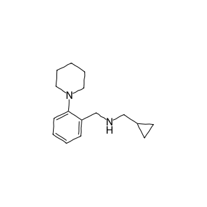 c1ccc(N2CCCCC2)c(CNCC2CC2)c1